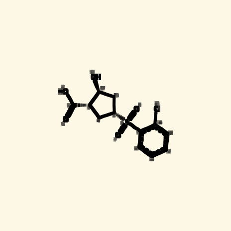 O=C(O)[C@H]1C[C@@H](S(=O)(=O)c2ccccc2Cl)C[C@@H]1O